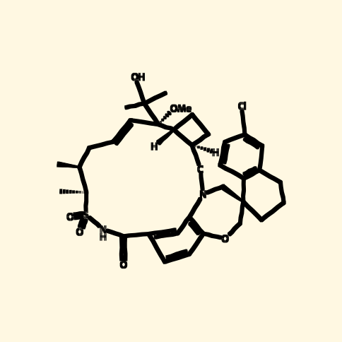 CO[C@@]1(C(C)(C)O)/C=C/C[C@H](C)[C@@H](C)S(=O)(=O)NC(=O)c2ccc3c(c2)N(C[C@@H]2CC[C@H]21)C[C@@]1(CCCc2cc(Cl)ccc21)CO3